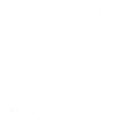 COc1ccc(CCC(=O)O)cc1-c1cc(CCC(=O)O)ccc1OC